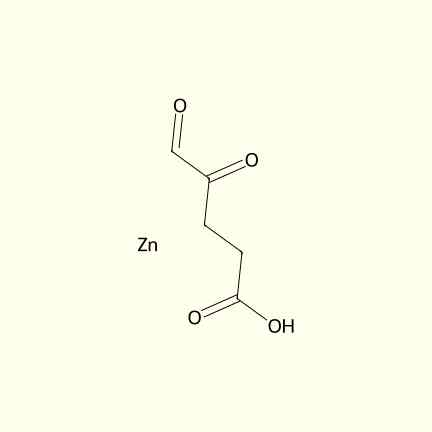 O=CC(=O)CCC(=O)O.[Zn]